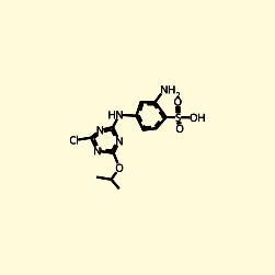 CC(C)Oc1nc(Cl)nc(Nc2ccc(S(=O)(=O)O)c(N)c2)n1